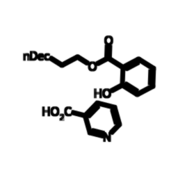 CCCCCCCCCCCCOC(=O)c1ccccc1O.O=C(O)c1cccnc1